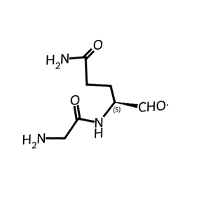 NCC(=O)N[C@H]([C]=O)CCC(N)=O